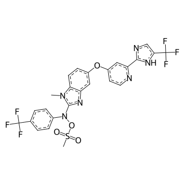 Cn1c(N(OS(C)(=O)=O)c2ccc(C(F)(F)F)cc2)nc2cc(Oc3ccnc(-c4ncc(C(F)(F)F)[nH]4)c3)ccc21